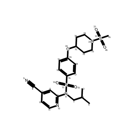 CC(C)CN(c1cc(C#N)ccn1)S(=O)(=O)c1ccc(OC2CCN(S(C)(=O)=O)CC2)cc1